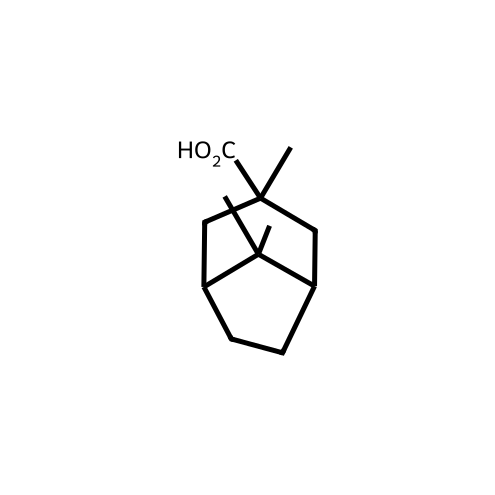 CC1(C(=O)O)CC2CCC(C1)C2(C)C